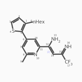 CCCCCCc1ccsc1-c1cc(C)nc(/C(N)=C/C(=N)C(F)(F)F)c1